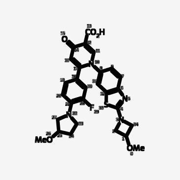 COC1CN(c2nc3ccc(-n4cc(C(=O)O)c(=O)cc4-c4ccc(N5CCC(OC)C5)c(F)c4)cc3s2)C1